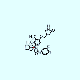 Cc1c(OCC2CNC(=O)C2)ccc(C(C)N2C3CCC2CC(NC(=O)c2ccc(F)c(Cl)c2)C3)c1C